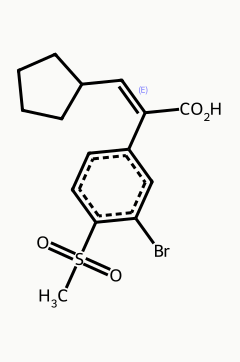 CS(=O)(=O)c1ccc(/C(=C\C2CCCC2)C(=O)O)cc1Br